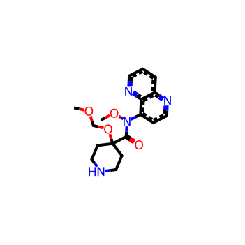 COCOC1(C(=O)N(OC)c2ccnc3cccnc23)CCNCC1